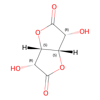 O=C1O[C@@H]2[C@@H](OC(=O)[C@@H]2O)[C@H]1O